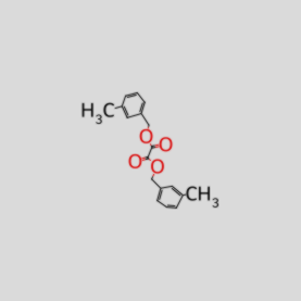 Cc1cccc(COC(=O)C(=O)OCc2cccc(C)c2)c1